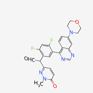 Cn1nc(C(C=O)c2cc(-c3ncnc4cc(N5CCOCC5)ccc34)c(F)cc2F)ccc1=O